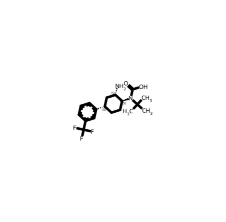 CC(C)(C)N(C(=O)O)[C@H]1CC[C@H](c2cccc(C(F)(F)F)c2)C[C@@H]1N